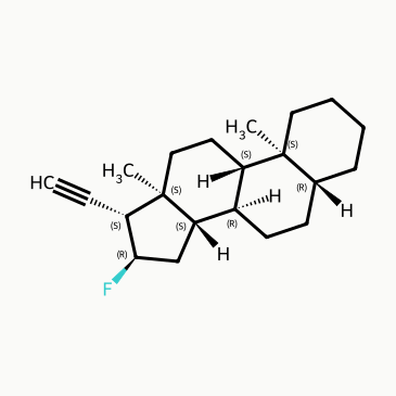 C#C[C@H]1[C@H](F)C[C@H]2[C@@H]3CC[C@H]4CCCC[C@]4(C)[C@H]3CC[C@]12C